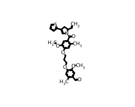 C=CC1CC(c2cccs2)=CN1C(=O)c1cc(OC)c(OCCCOc2cc(C)c(C=O)cc2OC)cc1C